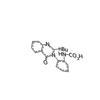 CCCCc1nc2ccccc2c(=O)n1-c1ccccc1NC(=O)O